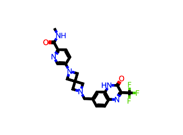 CNC(=O)c1ccc(N2CC3(CN(Cc4ccc5nc(C(F)(F)F)c(=O)[nH]c5c4)C3)C2)cn1